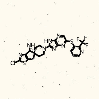 N[C@@H]1c2nc(Cl)sc2CC12CCN(c1nc3nc(Sc4cccnc4C(F)(F)F)cnc3[nH]1)CC2